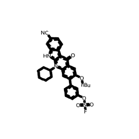 CCCCOc1cc2c(=O)c3c4ccc(C#N)cc4[nH]c3n(C3CCCCC3)c2cc1-c1cccc(OS(=O)(=O)F)c1